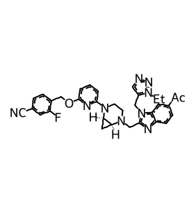 CCn1nncc1Cn1c(CN2CCN(c3cccc(OCc4ccc(C#N)cc4F)n3)[C@@H]3C[C@@H]32)nc2ccc(C(C)=O)cc21